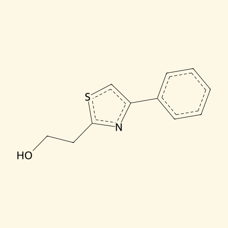 OCCc1nc(-c2ccccc2)cs1